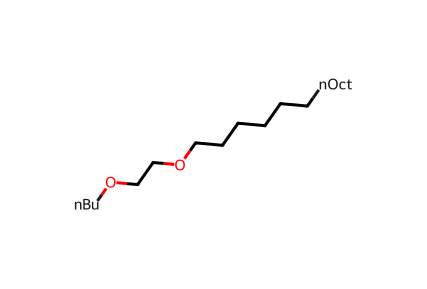 [CH2]CCCCCCCCCCCCCOCCOCCCC